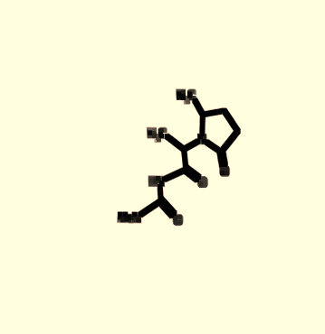 CNC(=O)NC(=O)C(C)N1C(=O)CCC1C